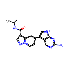 CC(NC(=O)c1cnn2ccc(-c3c[nH]c4nc(N)ncc34)cc12)C(F)(F)F